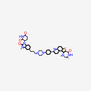 C[C@@H]1CN(C)c2c(sc3ccc4nc(-c5ccc(N6CCN(CCCc7ccc8c(c7)n(C)c(=O)n8C7CCC(=O)NC7=O)CC6)cc5)ccc4c23)C(=O)N1